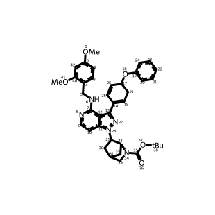 COc1ccc(CNc2nccc3c2c(C2=CCC(Oc4ccccc4)C=C2)nn3C2CC3CC2N(C(=O)OC(C)(C)C)C3)c(OC)c1